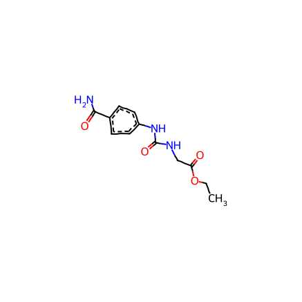 CCOC(=O)CNC(=O)Nc1ccc(C(N)=O)cc1